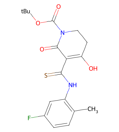 Cc1ccc(F)cc1NC(=S)C1=C(O)CCN(C(=O)OC(C)(C)C)C1=O